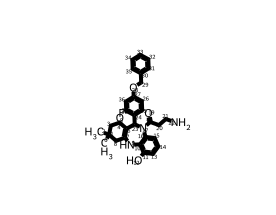 CC1(C)CC(=O)C2=C(C1)Nc1c(O)cccc1N(C(=O)CCN)C2c1ccc(OCc2ccccc2)cc1F